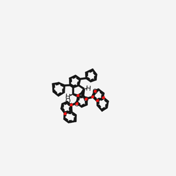 O=C(OC1C(OC(=O)c2ccccc2)[C@H]2c3c(-c4ccccc4)ccc(-c4ccccc4)c3[C@H]1c1c(-c3ccccc3)ccc(-c3ccccc3)c12)c1ccccc1